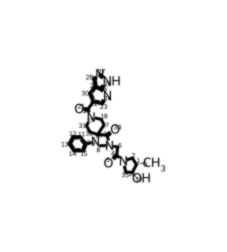 C[C@H]1CN(C(=O)CN2CN(c3ccccc3)C3(CCN(C(=O)c4cnc5[nH]ncc5c4)CC3)C2=O)C[C@H]1O